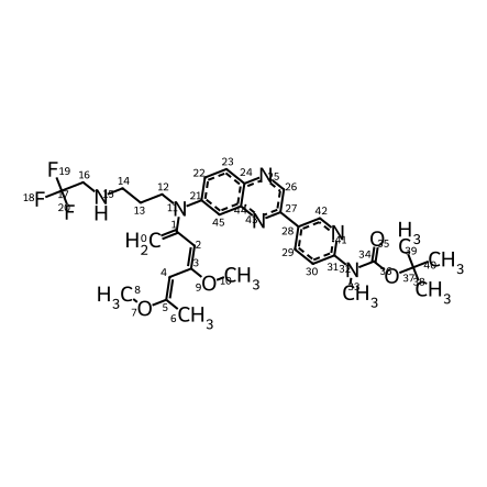 C=C(/C=C(\C=C(/C)OC)OC)N(CCCNCC(F)(F)F)c1ccc2ncc(-c3ccc(N(C)C(=O)OC(C)(C)C)nc3)nc2c1